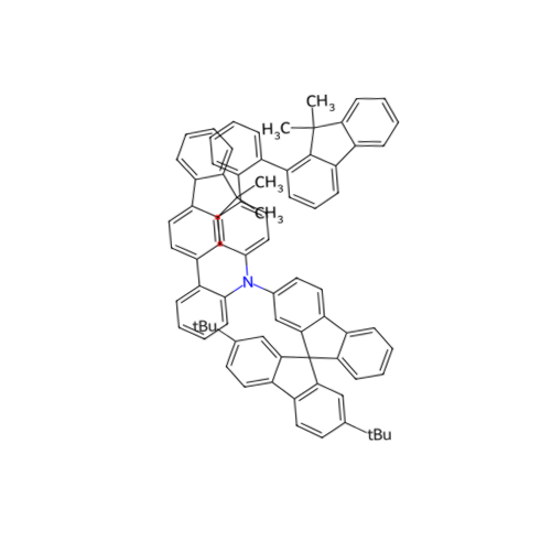 CC(C)(C)c1ccc2c(c1)C1(c3ccccc3-c3ccc(N(c4ccc(-c5ccccc5-c5cccc6c5C(C)(C)c5ccccc5-6)cc4)c4ccccc4-c4ccc5c(c4)C(C)(C)c4ccccc4-5)cc31)c1cc(C(C)(C)C)ccc1-2